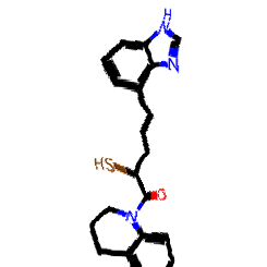 O=C(C(S)CCCc1cccc2[nH]cnc12)N1CCCc2ccccc21